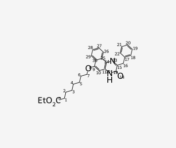 CCOC(=O)CCCCCCCOc1cc2[nH]c(=O)c(Cc3ccccc3)nc2c2ccccc12